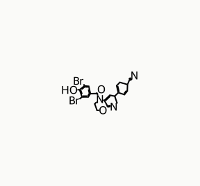 N#CC1C=CC(C2C=C3C(=NC2)OCCN3C(=O)c2cc(Br)c(O)c(Br)c2)=CC1